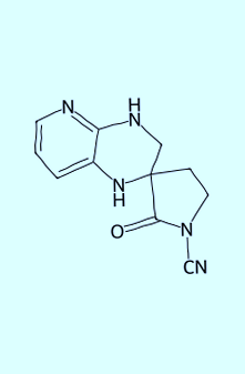 N#CN1CCC2(CNc3ncccc3N2)C1=O